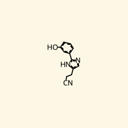 N#CCCc1cnc(-c2cccc(O)c2)[nH]1